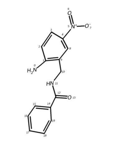 Nc1ccc([N+](=O)[O-])cc1CNC(=O)c1ccccc1